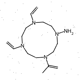 C=CN1CCN(N)CCN(C(=C)C)CCN(C=C)CC1